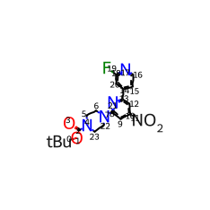 CC(C)(C)OC(=O)N1CCN(c2cc([N+](=O)[O-])cc(-c3ccnc(F)c3)n2)CC1